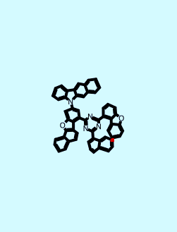 c1ccc2cc3c(cc2c1)c1ccccc1n3-c1cc(-c2nc(-c3cccc4ccccc34)nc(-c3cccc4oc5ccccc5c34)n2)c2c(c1)oc1c3ccccc3ccc12